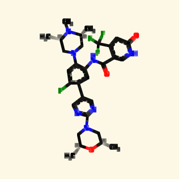 C[C@@H]1CN(c2ncc(-c3cc(NC(=O)c4c[nH]c(=O)cc4C(F)(F)F)c(N4C[C@@H](C)N(C)[C@@H](C)C4)cc3F)cn2)C[C@H](C)O1